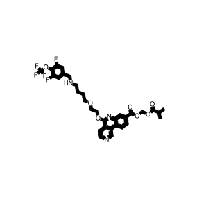 CC(C)C(=O)OCOC(=O)c1ccc2c(c1)nc(OCCOCCCCNCc1cc(F)c(OC(F)(F)F)c(F)c1)c1ccncc12